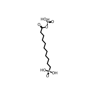 O=C(CCCCCCCCCCP(=O)(O)O)O[PH](=O)O